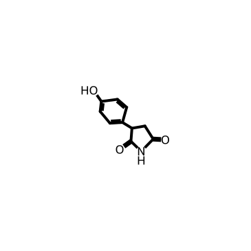 O=C1CC(c2ccc(O)cc2)C(=O)N1